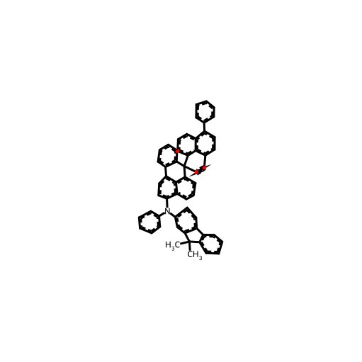 CC1(C)c2ccccc2-c2ccc(N(c3ccccc3)c3ccc4c5c(cccc35)C3(c5ccccc5-c5ccc(-c6ccccc6)c6cccc3c56)c3ccccc3-4)cc21